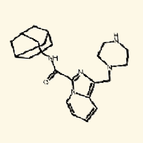 O=C(NC12CC3CC(CC(C3)C1)C2)c1nc(CN2CCNCC2)c2ccccn12